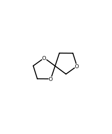 C1CC2(CO1)OCCO2